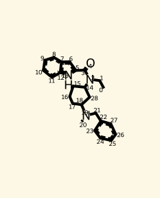 CCN(C(=O)c1cc2ccccc2[nH]1)C1CCCC(N(C)Cc2ccccc2)C1